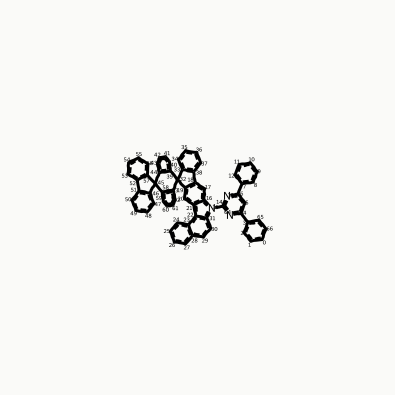 c1ccc(-c2cc(-c3ccccc3)nc(-n3c4cc5c(cc4c4c6ccccc6ccc43)C3(c4ccccc4-5)c4ccccc4C4(c5ccccc5-c5ccccc54)c4ccccc43)n2)cc1